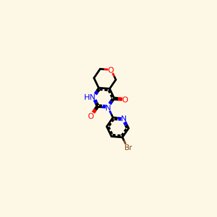 O=c1[nH]c2c(c(=O)n1-c1ccc(Br)cn1)COCC2